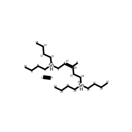 C#C.CCC[CH2][SnH]([CH2]CCC)[CH2]CCC.CCC[CH2][SnH]([CH2]CCC)[CH2]CCC